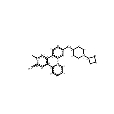 Cn1nc(-c2ccc(OC3CCN(C4CCC4)CC3)cc2)c(-c2ccccn2)cc1=O